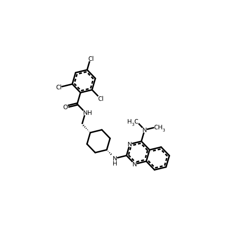 CN(C)c1nc(N[C@H]2CC[C@@H](CNC(=O)c3c(Cl)cc(Cl)cc3Cl)CC2)nc2ccccc12